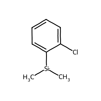 C[Si](C)c1ccccc1Cl